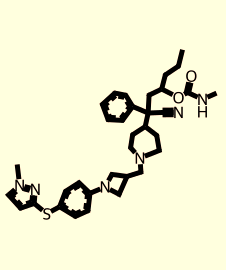 CCCC(CC(C#N)(c1ccccc1)C1CCN(CC2CN(c3ccc(Sc4ccn(C)n4)cc3)C2)CC1)OC(=O)NC